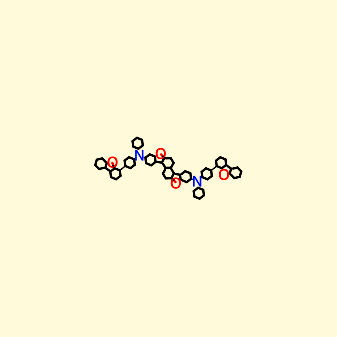 c1ccc(N(c2ccc(-c3cccc4c3oc3ccccc34)cc2)c2ccc3c(c2)oc2ccc4c(ccc5oc6cc(N(c7ccccc7)c7ccc(-c8cccc9c8oc8ccccc89)cc7)ccc6c54)c23)cc1